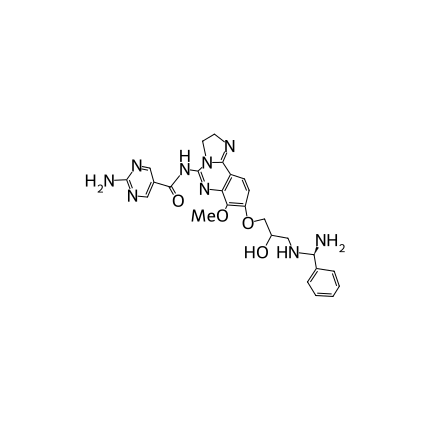 COc1c(OCC(O)CN[C@@H](N)c2ccccc2)ccc2c1N=C(NC(=O)c1cnc(N)nc1)N1CCN=C21